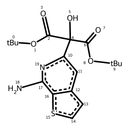 CC(C)(C)OC(=O)C(O)(C(=O)OC(C)(C)C)c1cc2ccsc2c(N)n1